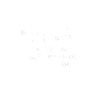 CC(C)(C)OC(=O)N(Cc1cc(Br)cc(C=O)c1)C1CC1